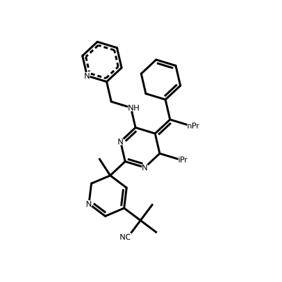 CCC/C(C1=CC=CCC1)=C1/C(NCc2ccccn2)=NC(C2(C)C=C(C(C)(C)C#N)C=NC2)=NC1C(C)C